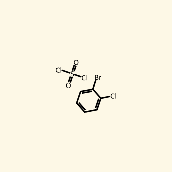 Clc1ccccc1Br.O=S(=O)(Cl)Cl